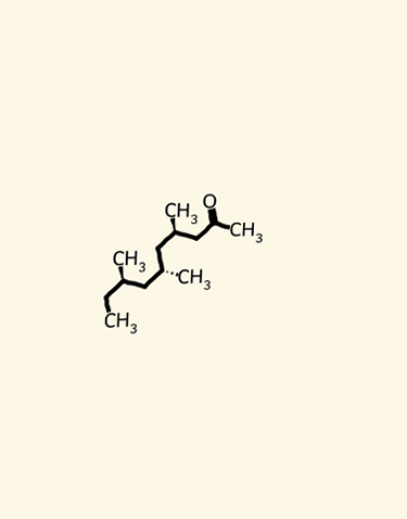 CC[C@@H](C)C[C@@H](C)C[C@@H](C)CC(C)=O